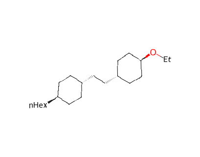 CCCCCC[C@H]1CC[C@H](CC[C@H]2CC[C@H](OCC)CC2)CC1